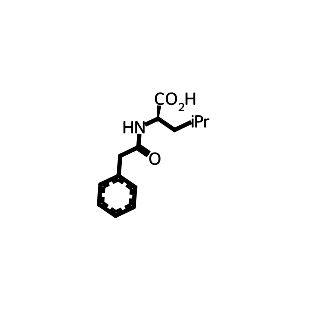 CC(C)C[C@@H](NC(=O)Cc1ccccc1)C(=O)O